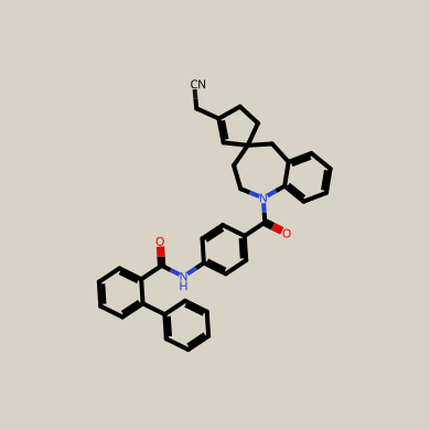 N#CCC1=CC2(CC1)CCN(C(=O)c1ccc(NC(=O)c3ccccc3-c3ccccc3)cc1)c1ccccc1C2